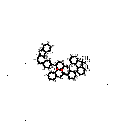 CC1(C)c2ccccc2-c2c(N(c3ccc(-c4ccc5ccc6sc7ccccc7c6c5c4)cc3)c3ccccc3-c3ccc4ccccc4c3)cccc21